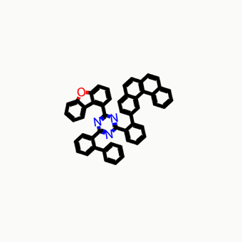 c1ccc(-c2ccccc2-c2nc(-c3ccccc3-c3ccc4ccc5ccc6ccccc6c5c4c3)nc(-c3cccc4oc5ccccc5c34)n2)cc1